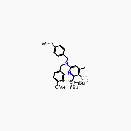 CCC[CH2][Sn]([CH2]CCC)([CH2]CCC)[c]1nc(N(Cc2ccc(OC)cc2)Cc2ccc(OC)cc2)cc(C)c1C(F)(F)F